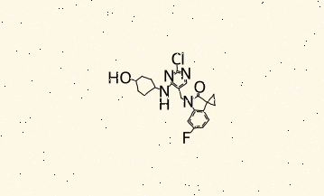 O=C1N(Cc2cnc(Cl)nc2NC2CCC(O)CC2)c2cc(F)ccc2C12CC2